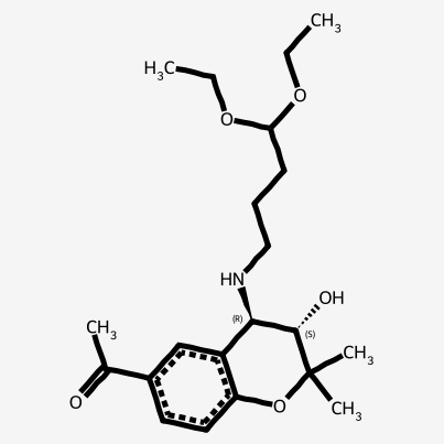 CCOC(CCCN[C@@H]1c2cc(C(C)=O)ccc2OC(C)(C)[C@H]1O)OCC